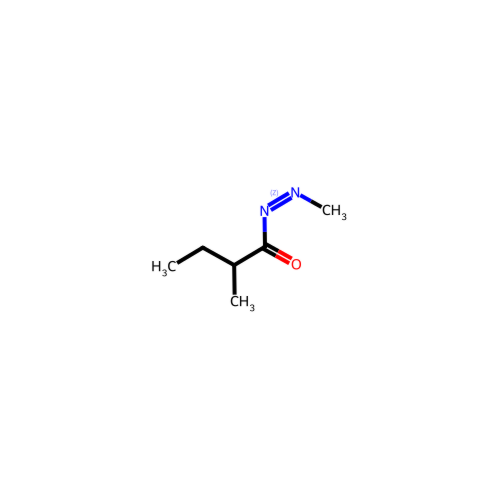 CCC(C)C(=O)/N=N\C